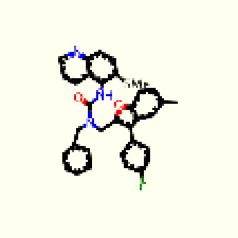 CSc1ccc2ncccc2c1NC(=O)N(Cc1ccccc1)Cc1oc2ccc(C)cc2c1-c1ccc(Cl)cc1